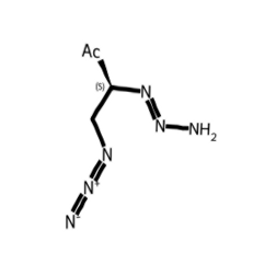 CC(=O)[C@H](CN=[N+]=[N-])N=NN